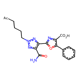 CC(=O)CCCCn1nc(C(N)=O)c(-c2nc(C(=O)O)c(-c3ccccc3)o2)n1